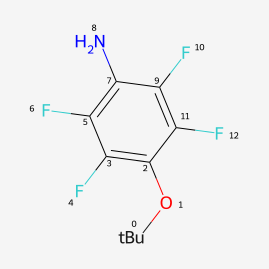 CC(C)(C)Oc1c(F)c(F)c(N)c(F)c1F